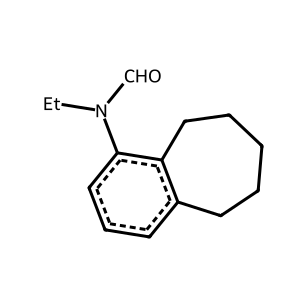 CCN(C=O)c1cccc2c1CCCCC2